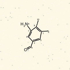 Cc1cc(C=O)cc(N)c1C